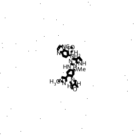 COc1cc(N2C[C@H]3COC[C@H]3C2)c(-c2cnn(C)c2)cc1Nc1nc(Nc2ccc3nccnc3c2P(C)(C)=O)c2cc[nH]c2n1